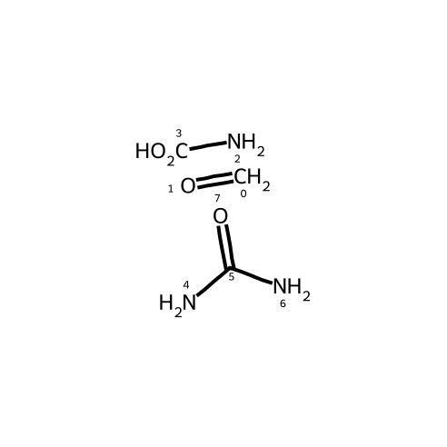 C=O.NC(=O)O.NC(N)=O